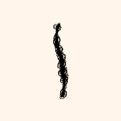 C=CC(=O)OCCCCCCOC(=O)Oc1ccc(C(=O)Oc2ccc(C(=O)Oc3ccc(OC(=O)c4ccc(OC(=O)c5ccc(OC(=O)OCCCCCCOC(=O)C=C)cc5)cc4)cc3)cc2)cc1